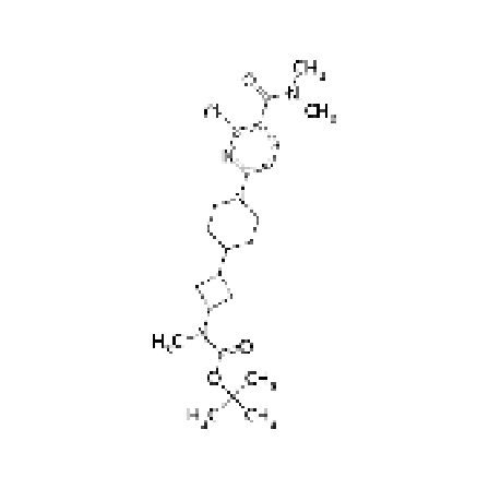 CN(C)C(=O)c1ccc(N2CCC(C3CC(N(C)C(=O)OC(C)(C)C)C3)CC2)nc1Cl